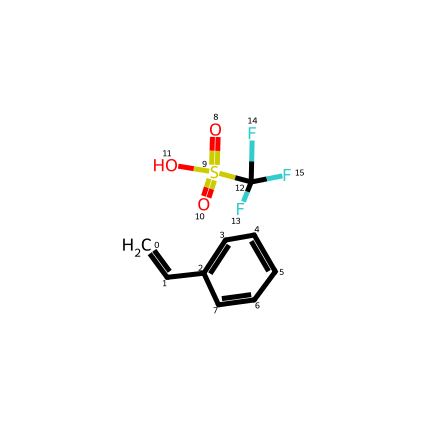 C=Cc1ccccc1.O=S(=O)(O)C(F)(F)F